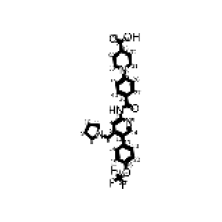 O=C(Nc1cc(CN2CCCC2)c(-c2ccc(OC(F)(F)F)cc2)cn1)c1ccc(N2CCC(C(=O)O)CC2)cc1